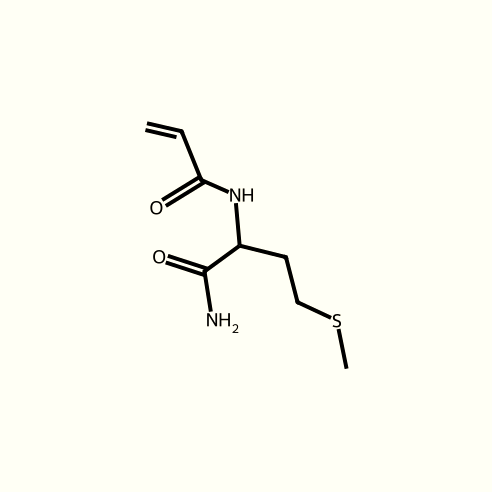 C=CC(=O)NC(CCSC)C(N)=O